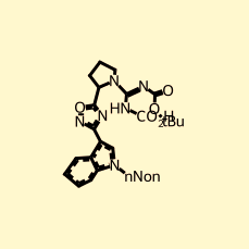 CCCCCCCCCn1cc(-c2noc(C3CCCN3C(=NC(=O)OC(C)(C)C)NC(=O)O)n2)c2ccccc21